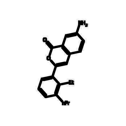 CCCc1cccc(-c2cc3ccc(N)cc3c(=O)o2)c1CC